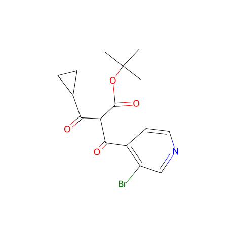 CC(C)(C)OC(=O)C(C(=O)c1ccncc1Br)C(=O)C1CC1